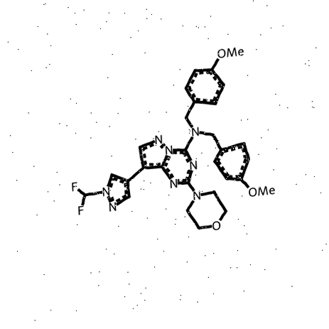 COc1ccc(CN(Cc2ccc(OC)cc2)c2nc(N3CCOCC3)nc3c(-c4cnn(C(F)F)c4)cnn23)cc1